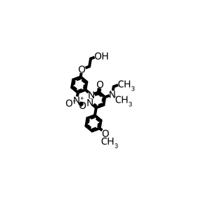 CCN(C)c1cc(-c2cccc(OC)c2)nn(-c2cc(OCCO)ccc2[N+](=O)[O-])c1=O